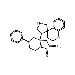 C=CCC1(C2CNCC23CCOc2ccccc23)CC(c2ccccc2)CCN1C=O